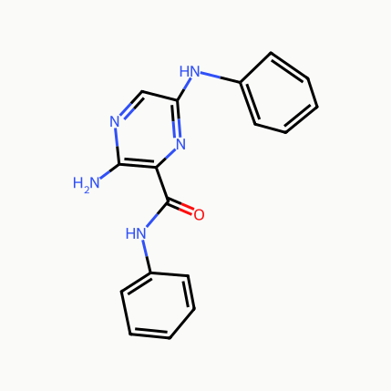 Nc1ncc(Nc2ccccc2)nc1C(=O)Nc1ccccc1